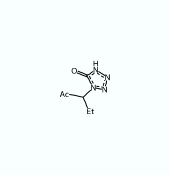 CCC(C(C)=O)n1nn[nH]c1=O